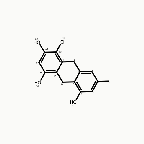 Cc1cc(O)c2c(c1)Cc1c(Cl)c(O)cc(O)c1C2